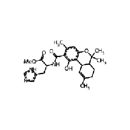 COC(=O)[C@H](Cc1cnc[nH]1)NC(=O)c1c(C)cc2c(c1O)C1C=C(C)CCC1C(C)(C)O2